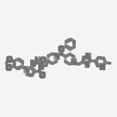 Cc1ccc(-c2ncc(CN3CC[C@@H](C(=O)N4CCC(O)(Cn5cnc6c(ccn6-c6ccc7c(c6)OCO7)c5=O)CC4)[C@H](c4ccccc4)C3)s2)cn1